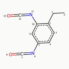 CCc1ccc(N=C=O)cc1N=C=O